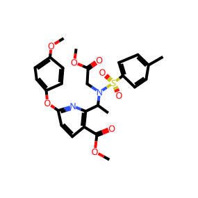 COC(=O)CN(C(C)c1nc(Oc2ccc(OC)cc2)ccc1C(=O)OC)S(=O)(=O)c1ccc(C)cc1